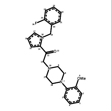 COc1ccccc1N1CCN(CC(=O)c2cccn2Cc2ccccc2F)CC1